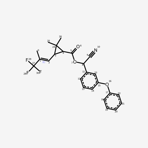 C/C(=C\C1C(C(=O)OC(C#N)c2cccc(Oc3ccccc3)c2)C1(C)C)C(F)(F)F